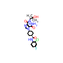 CC(C)(O)CNC(=O)c1ncn([C@H]2CC[C@H](C(=O)Nc3ccc(F)cc3Cl)CC2)c1C(N)=O